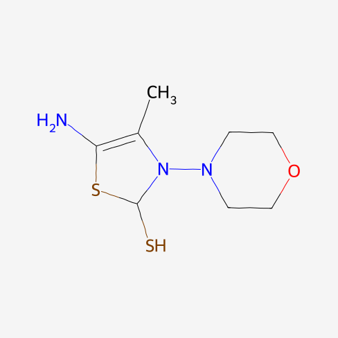 CC1=C(N)SC(S)N1N1CCOCC1